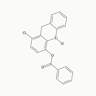 O=C(Oc1ccc(Cl)c2c1[S+]([O-])c1ccccc1C2)c1ccccc1